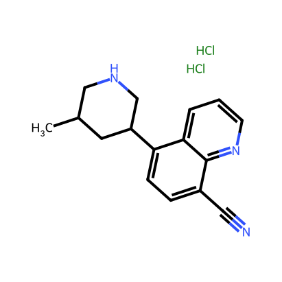 CC1CNCC(c2ccc(C#N)c3ncccc23)C1.Cl.Cl